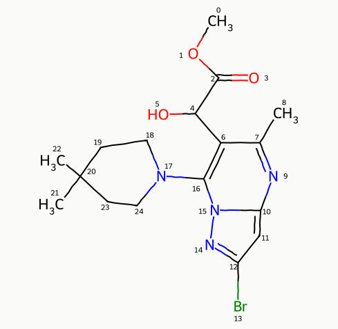 COC(=O)C(O)c1c(C)nc2cc(Br)nn2c1N1CCC(C)(C)CC1